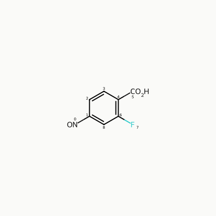 O=Nc1ccc(C(=O)O)c(F)c1